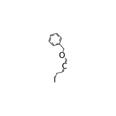 ICC=C=COCc1ccccc1